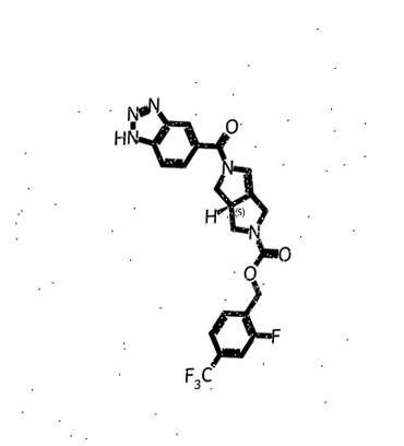 O=C(c1ccc2[nH]nnc2c1)N1C=C2CN(C(=O)OCc3ccc(C(F)(F)F)cc3F)C[C@@H]2C1